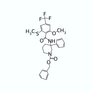 COc1cc(C(F)(F)F)cc(SC)c1C(=O)NC1(c2ccccc2)CCCN(C(=O)OCc2ccccc2)C1